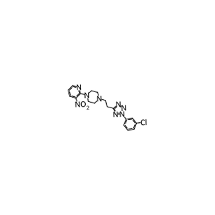 O=[N+]([O-])c1cccnc1N1CCN(CCc2nnn(-c3cccc(Cl)c3)n2)CC1